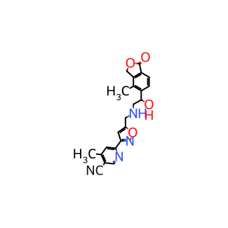 Cc1cc(-c2cc(CNCC(O)c3ccc4c(c3C)COC4=O)on2)ncc1C#N